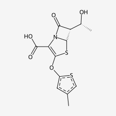 Cc1csc(OC2=C(C(=O)O)N3C(=O)[C@H]([C@@H](C)O)C3S2)c1